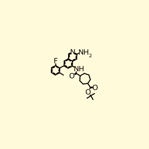 Cc1cccc(F)c1-c1cc(NC(=O)C2CCCC(C(=O)OC(C)(C)C)CC2)c2cc(N)ncc2c1